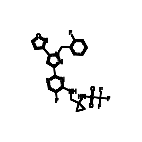 O=S(=O)(NC1(CNc2nc(-c3cc(-c4ccon4)n(Cc4ccccc4F)n3)ncc2F)CC1)C(F)(F)F